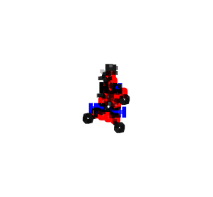 CCC1O[C@H](OC2O[C@H]3CC(C)[C@@H](O[C@@H]4C(NC(=O)OCc5ccccc5)C[C@@H](NC(=O)OCc5ccccc5)C(OC(=O)c5ccccc5)[C@H]4F)OC3C3OC(=O)N(C)C23)C(C)[C@@H](C)[C@@H]1C